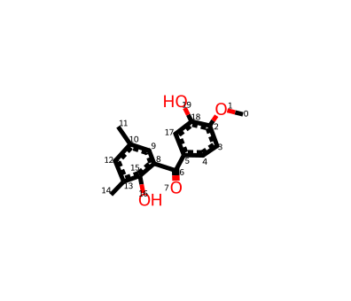 COc1ccc(C(=O)c2cc(C)cc(C)c2O)cc1O